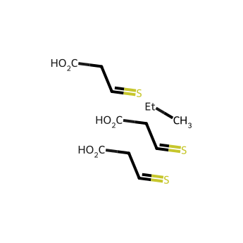 CCC.O=C(O)CC=S.O=C(O)CC=S.O=C(O)CC=S